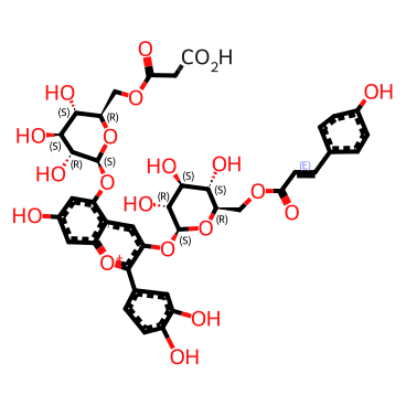 O=C(O)CC(=O)OC[C@H]1O[C@@H](Oc2cc(O)cc3[o+]c(-c4ccc(O)c(O)c4)c(O[C@@H]4O[C@H](COC(=O)/C=C/c5ccc(O)cc5)[C@@H](O)[C@H](O)[C@H]4O)cc23)[C@H](O)[C@@H](O)[C@@H]1O